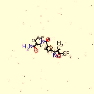 Cc1c(-c2ccc(C(=O)N3CCC[C@H](C(N)=O)C3)s2)noc1C(F)(F)F